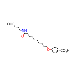 O=[C]CCCNC(=O)CCCCCCCCCOc1ccc(C(=O)O)cc1